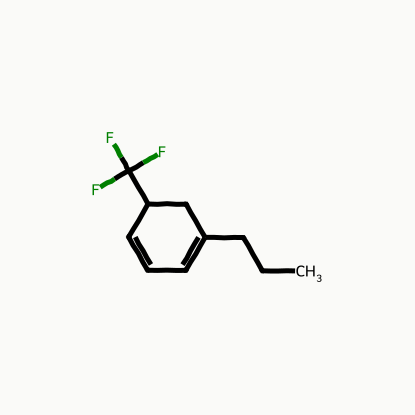 CCCC1=CC=CC(C(F)(F)F)C1